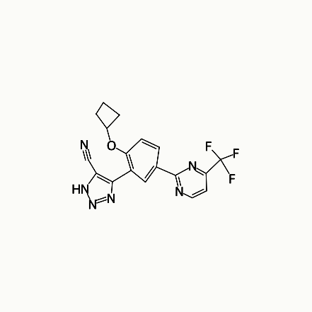 N#Cc1[nH]nnc1-c1cc(-c2nccc(C(F)(F)F)n2)ccc1OC1CCC1